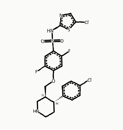 O=S(=O)(Nc1ncc(Cl)s1)c1cc(F)c(OC[C@@H]2CNCC[C@H]2c2ccc(Cl)cc2)cc1F